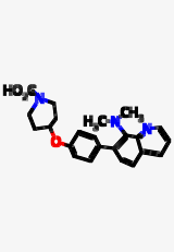 CN(C)c1c(-c2ccc(OC3CCN(C(=O)O)CC3)cc2)ccc2cccnc12